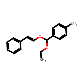 CCOC(OC=Cc1ccccc1)c1ccc(C)cc1